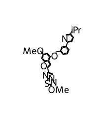 COc1cc(OCc2cccc(-c3ccc(C(C)C)cn3)c2)c2cc(-c3cn4nc(OC)sc4n3)oc2c1